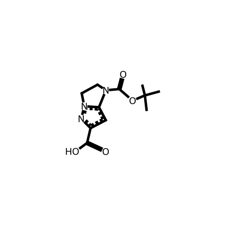 CC(C)(C)OC(=O)N1CCn2nc(C(=O)O)cc21